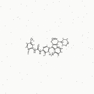 COCc1c(-c2ccc(NC(=O)Nc3cc(C(F)(F)F)ccc3F)c(C)c2)c2c(N)ncnn2c1CN1CCOCC1